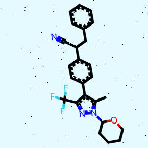 Cc1c(-c2ccc(C(C#N)Cc3ccccc3)cc2)c(C(F)(F)F)nn1C1CCCCO1